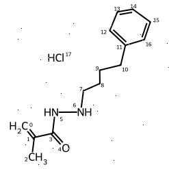 C=C(C)C(=O)NNCCCCc1ccccc1.Cl